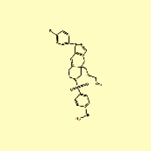 CCOC[C@]12Cc3cnn(-c4ccc(F)cc4)c3C=C1CCN(S(=O)(=O)c1ccc(NC)nc1)C2